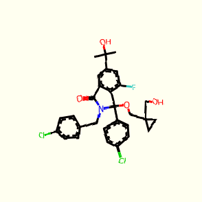 CC(C)(O)c1cc(F)c2c(c1)C(=O)N(Cc1ccc(Cl)cc1)C2(OCC1(CO)CC1)c1ccc(Cl)cc1